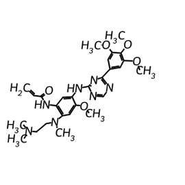 C=CC(=O)Nc1cc(Nc2ncnc(-c3cc(OC)c(OC)c(OC)c3)n2)c(OC)cc1N(C)CCN(C)C